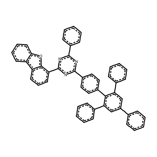 c1ccc(-c2cc(-c3ccccc3)c(-c3ccc(-c4nc(-c5ccccc5)nc(-c5cccc6c5oc5ccccc56)n4)cc3)c(-c3ccccc3)c2)cc1